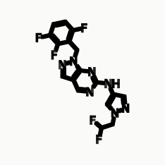 Fc1ccc(F)c(Cn2ncc3cnc(Nc4cnn(CC(F)F)c4)nc32)c1F